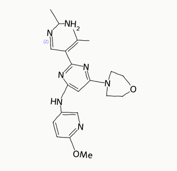 COc1ccc(Nc2cc(N3CCOCC3)nc(C(/C=N\C(C)N)=C(C)C)n2)cn1